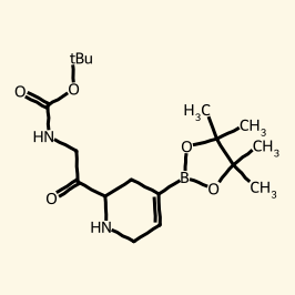 CC(C)(C)OC(=O)NCC(=O)C1CC(B2OC(C)(C)C(C)(C)O2)=CCN1